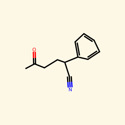 CC(=O)CCC(C#N)c1ccccc1